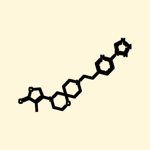 CC1=C(N2CCOC3(CCN(CCc4ccc(-n5cnnn5)nc4)CC3)C2)COC1=O